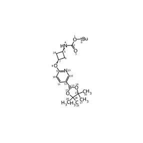 CC(C)(C)OC(=O)N[C@H]1C[C@@H](Oc2ccc(B3OC(C)(C)C(C)(C)O3)cn2)C1